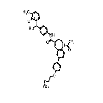 CCCCOCCOc1ccc(-c2ccc3c(c2)C=C(C(=O)Nc2ccc(C(O)c4cccc(C)[n+]4[O-])cc2)CCN3C(=O)C(F)(F)F)cc1